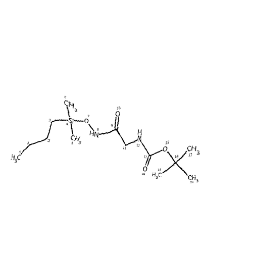 CCCC[Si](C)(C)ONC(=O)CNC(=O)OC(C)(C)C